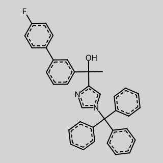 CC(O)(c1cccc(-c2ccc(F)cc2)c1)c1cn(C(c2ccccc2)(c2ccccc2)c2ccccc2)cn1